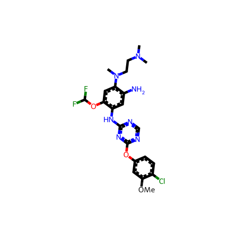 COc1cc(Oc2ncnc(Nc3cc(N)c(N(C)CCN(C)C)cc3OC(F)F)n2)ccc1Cl